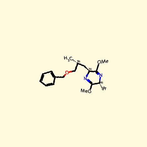 COC1=N[C@H](C(C)C)C(OC)=N[C@H]1C[C@@H](C)COCc1ccccc1